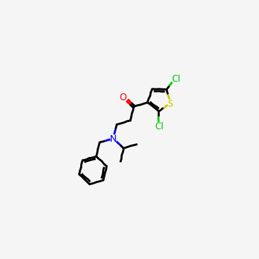 CC(C)N(CCC(=O)c1cc(Cl)sc1Cl)Cc1ccccc1